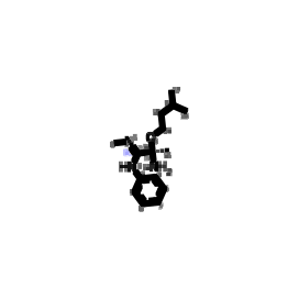 C/N=C(\Nc1ccccc1)[C@](C)(N)OCCC(C)C